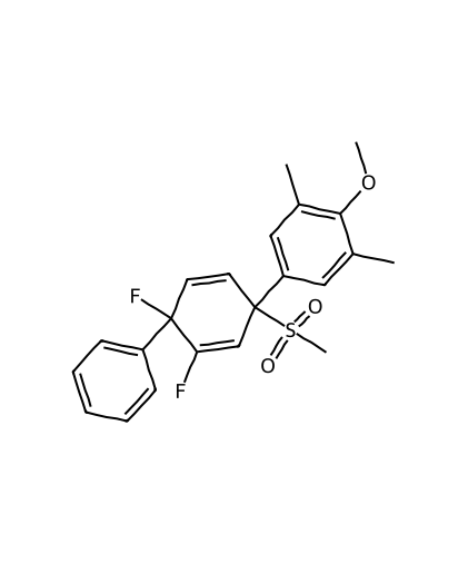 COc1c(C)cc(C2(S(C)(=O)=O)C=CC(F)(c3ccccc3)C(F)=C2)cc1C